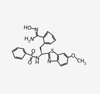 COc1ccc2nc([C@H](Cc3ccccc3C(N)=NO)NS(=O)(=O)c3ccccc3)sc2c1